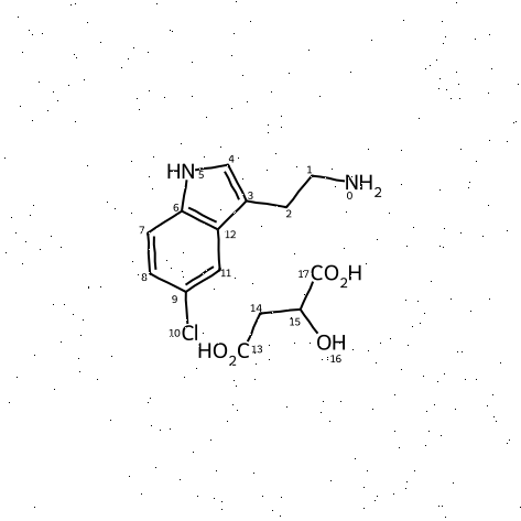 NCCc1c[nH]c2ccc(Cl)cc12.O=C(O)CC(O)C(=O)O